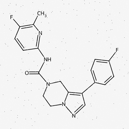 Cc1nc(NC(=O)N2CCn3ncc(-c4ccc(F)cc4)c3C2)ccc1F